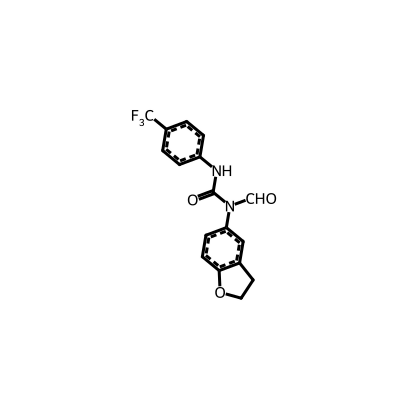 O=CN(C(=O)Nc1ccc(C(F)(F)F)cc1)c1ccc2c(c1)CCO2